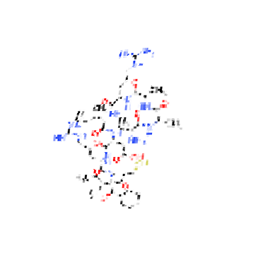 CC[C@H](C)[C@H](NC(=O)[C@H](CCCNC(=N)N)NC(=O)[C@H](C)NC(=O)[C@H](C)NC(=O)[C@H](C)N)C(=O)N[C@@H](CC(=O)O)C(=O)N[C@@H](CCCNC(=N)N)C(=O)[N][C@](C(=O)CCS)(C(=O)C1CCCCC1)[C@@H](C)CC